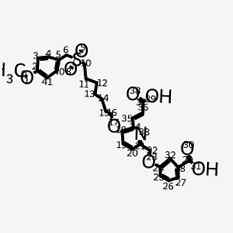 COc1ccc(CS(=O)(=O)CCCCCCCOc2ccc(COc3cccc(C(=O)O)c3)nc2C=CC(=O)O)cc1